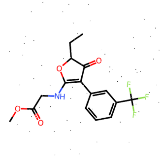 CCC1OC(NCC(=O)OC)=C(c2cccc(C(F)(F)F)c2)C1=O